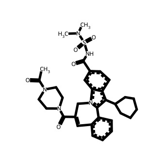 CC(=O)N1CCN(C(=O)C2=Cc3ccccc3-c3c(C4CCCCC4)c4ccc(C(=O)NS(=O)(=O)N(C)C)cc4n3C2)CC1